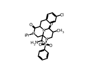 C[C]1CN(S(=O)(=O)c2ccccc2)C2(C(N)=O)CN(C(C)C)C(=O)C(Cc3ccc(Cl)cc3)N2C1=O